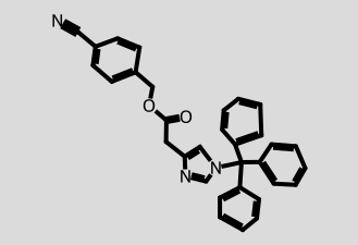 N#Cc1ccc(COC(=O)Cc2cn(C(c3ccccc3)(c3ccccc3)c3ccccc3)cn2)cc1